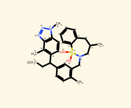 CCOC(=O)CC(c1ccc(C)c(CN2CC(C)Cc3ccccc3S2(O)O)c1)c1ccc2c(nnn2C)c1C